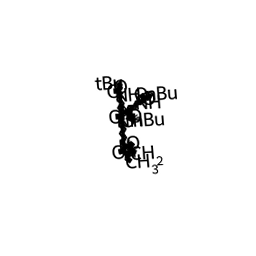 C=C1C(=O)N(CCCCCNC(=O)C(CCCNC(=O)OC(C)(C)C)N(CCCNC(=O)OCCCC)C(=O)OCCCC)C(=O)/C1=C/C